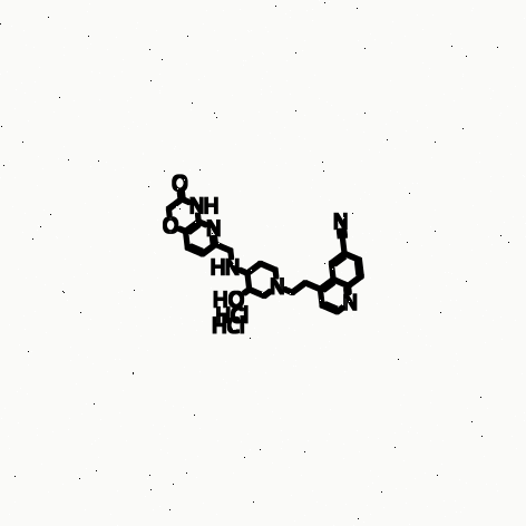 Cl.Cl.N#Cc1ccc2nccc(CCN3CCC(NCc4ccc5c(n4)NC(=O)CO5)C(O)C3)c2c1